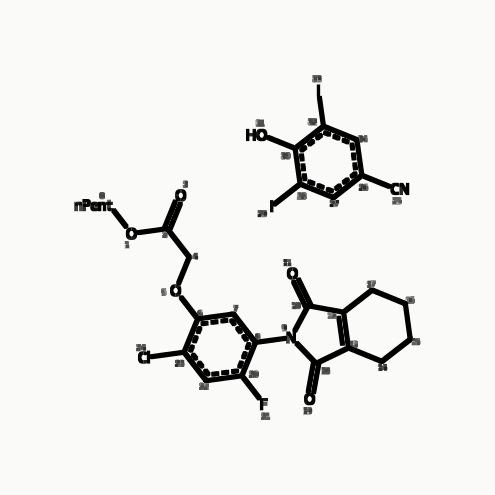 CCCCCOC(=O)COc1cc(N2C(=O)C3=C(CCCC3)C2=O)c(F)cc1Cl.N#Cc1cc(I)c(O)c(I)c1